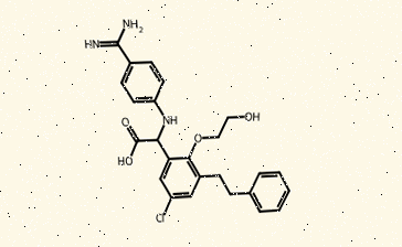 N=C(N)c1ccc(NC(C(=O)O)c2cc(Cl)cc(CCc3ccccc3)c2OCCO)cc1